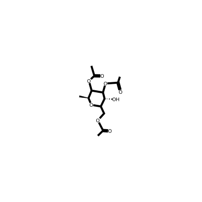 CC(=O)OCC1O[C@@H](C)C(OC(C)=O)C(OC(C)=O)[C@@H]1O